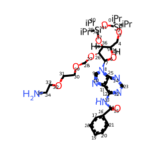 CC(C)[Si]1(C(C)C)OC[C@H]2O[C@@H](n3cnc4c(NC(=O)c5ccccc5)ncnc43)[C@H](OCOCCOCCN)[C@@H]2O[Si](C(C)C)(C(C)C)O1